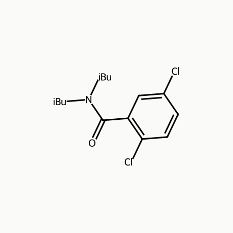 CCC(C)N(C(=O)c1cc(Cl)ccc1Cl)C(C)CC